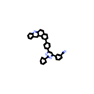 N#Cc1cccc(-c2cc(-c3ccc(-c4ccc5ccc6nc7ccccc7cc6c5c4)cc3)nc(-c3ccccc3)n2)c1